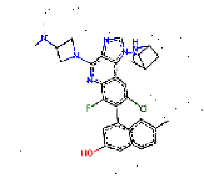 Cc1ccc2cc(O)cc(-c3c(Cl)cc4c(nc(N5CC(N(C)C)C5)c5ncn(C6C7CNC6C7)c54)c3F)c2c1